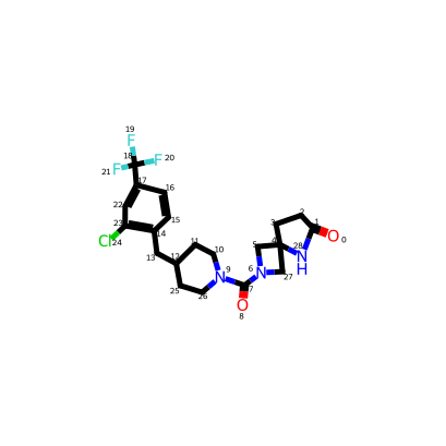 O=C1CCC2(CN(C(=O)N3CCC(Cc4ccc(C(F)(F)F)cc4Cl)CC3)C2)N1